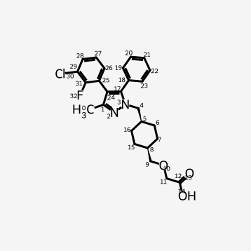 Cc1nn(C[C@H]2CC[C@@H](COCC(=O)O)CC2)c(-c2ccccc2)c1-c1cccc(Cl)c1F